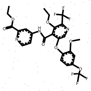 CCOC(=O)c1cc(NC(=O)c2c(Oc3ccc(OC(F)(F)F)cc3OC)cnc(C(F)(F)F)c2OCC)ccn1